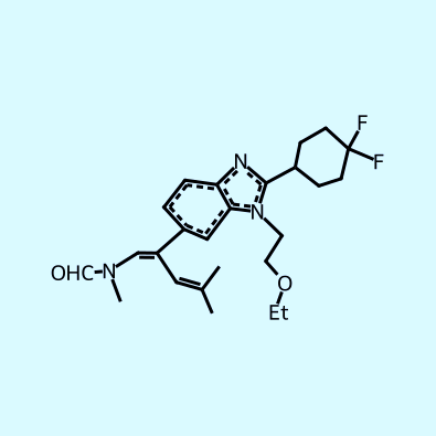 CCOCCn1c(C2CCC(F)(F)CC2)nc2ccc(/C(C=C(C)C)=C/N(C)C=O)cc21